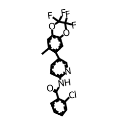 Cc1cc2c(cc1-c1ccc(NC(=O)c3ccccc3Cl)nc1)OC(F)(F)C(F)(F)O2